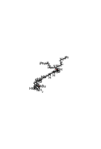 CCCCNc1nc(N)c2nc(O)n(Cc3ccc(C(=O)NCC(=O)NCCCNCCCCNCCCNCCC(CCC(C)CCCC(C)CCCC(C)CCCC(C)C)(CCC(C)CCCC(C)CCCC(C)CCCC(C)C)P(=O)(O)O)cc3)c2n1